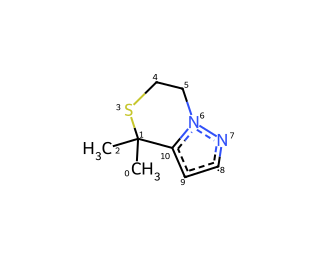 CC1(C)SCCn2n[c]cc21